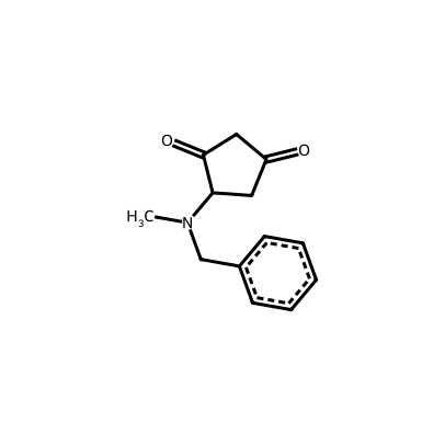 CN(Cc1ccccc1)C1CC(=O)CC1=O